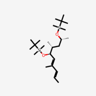 C/C=C/C(C)=C/[C@@H](O[Si](C)(C)C(C)(C)C)[C@H](C)C[C@@H](C)O[Si](C)(C)C(C)(C)C